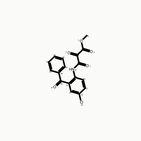 COC(=O)C(=O)C(=O)Nc1ccc(Cl)cc1C(=O)c1ccccc1